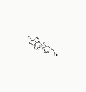 C#CCOCC1O[C@@H](n2cnc3c(Cl)ncnc32)[C@H](OC(C)=O)[C@@H]1OC(C)=O